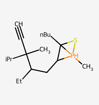 C#CC(C)(C(C)C)C(CC)CC1C2(CCCC)S[PH]12C